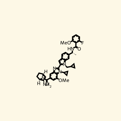 COc1cccc(F)c1C(=O)N[C@H](C)c1ccc2cc(-c3nc4cc(C(=O)N5[C@H]6CC[C@@H]5[C@H](N)C6)cc(OC)c4n3C3CC3)n(CC3CC3)c2c1